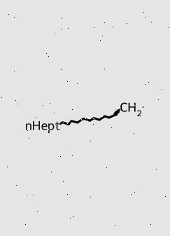 [CH2]C#CCCCCCCCCCCCCCCCCC